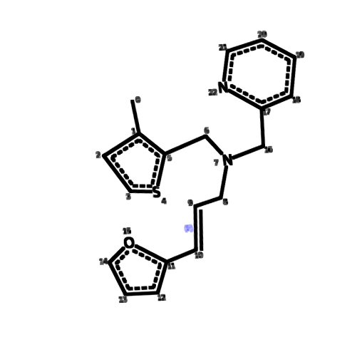 Cc1ccsc1CN(C/C=C/c1ccco1)Cc1ccccn1